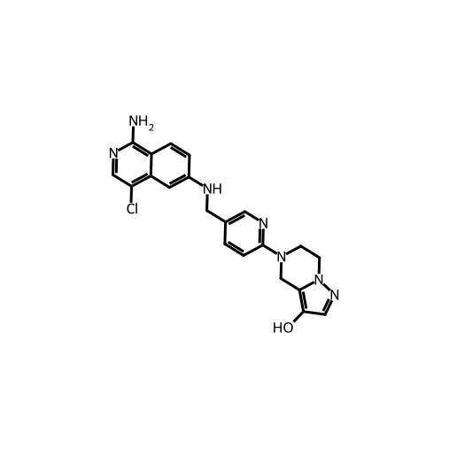 Nc1ncc(Cl)c2cc(NCc3ccc(N4CCn5ncc(O)c5C4)nc3)ccc12